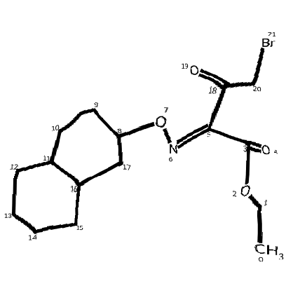 CCOC(=O)/C(=N/OC1CCC2CCCCC2C1)C(=O)CBr